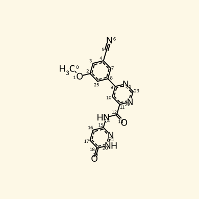 COc1cc(C#N)cc(-c2cc(C(=O)Nc3ccc(=O)[nH]n3)ncn2)c1